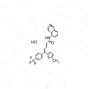 Cc1ccc(C(=CC=CC(=O)Nc2cccc3cnccc23)c2ccc(C(F)(F)F)cc2)s1.Cl